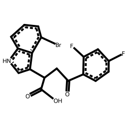 O=C(CC(C(=O)O)c1c[nH]c2cccc(Br)c12)c1ccc(F)cc1F